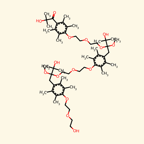 COC(Cc1c(C)c(C)c(OCCOCCO)c(C)c1C)(OCCOCCOc1c(C)c(C)c(CC(OC)(OCCOCCOc2c(C)c(C)c(C(=O)C(C)(C)O)c(C)c2C)C(C)(C)O)c(C)c1C)C(C)(C)O